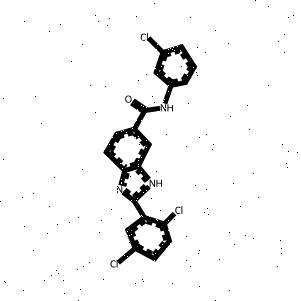 O=C(Nc1cccc(Cl)c1)c1ccc2nc(-c3cc(Cl)ccc3Cl)[nH]c2c1